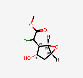 COC(=O)C(F)[C@H]1[C@@H]2O[C@@H]2C[C@@H]1O